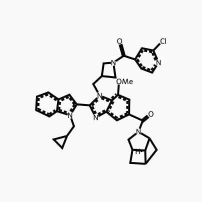 COc1cc(C(=O)N2CC3CC4CC2[C@H]43)cc2nc(-c3cc4ccccc4n3CC3CC3)n(CC3CN(C(=O)c4ccnc(Cl)c4)C3)c12